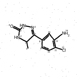 CC1NC(=O)NN=C1c1ccc(Cl)c(N)c1